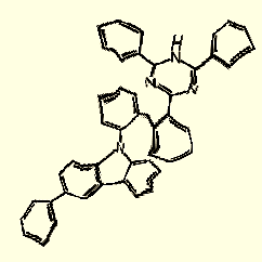 c1ccc(C2=NC(c3ccccc3-c3ccccc3-n3c4ccccc4c4cc(-c5ccccc5)ccc43)=NC(c3ccccc3)N2)cc1